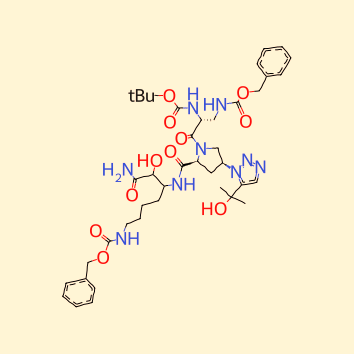 CC(C)(C)OC(=O)N[C@H](CNC(=O)OCc1ccccc1)C(=O)N1C[C@@H](n2nncc2C(C)(C)O)C[C@H]1C(=O)NC(CCCCNC(=O)OCc1ccccc1)C(O)C(N)=O